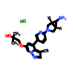 CC(C)(O)COc1cc(-c2ccc(N3C[C@@H]4C(N)[C@@H]4C3)nc2)c2c(C#N)cnn2c1.Cl